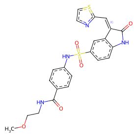 COCCNC(=O)c1ccc(NS(=O)(=O)c2ccc3c(c2)/C(=C\c2nccs2)C(=O)N3)cc1